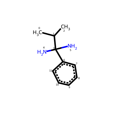 CC(C)C(N)(N)c1ccccc1